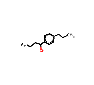 CCCc1ccc(C(O)CCC)cc1